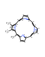 FC(F)(F)c1c(C(F)(F)F)c2c(C(F)(F)F)c3nc(cc4ccc(cc5nc(cc1n2C(F)(F)F)C=C5)[nH]4)C=C3